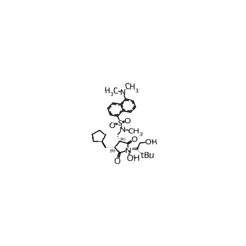 CN(C)c1cccc2c(S(=O)(=O)N(C)C[C@@H]3C(=O)[N+](O)([C@H](CO)C(C)(C)C)C(=O)[C@@H]3CC3CCCC3)cccc12